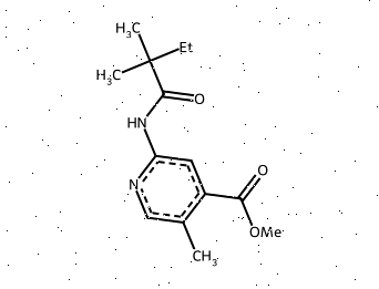 CCC(C)(C)C(=O)Nc1cc(C(=O)OC)c(C)cn1